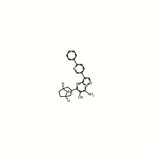 N#Cc1c(C2C[C@H]3CC[C@@H](C2)N3)nc2c(-c3ccc(-c4ccccc4)nc3)cnn2c1N